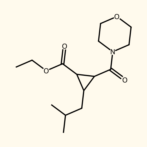 CCOC(=O)C1C(CC(C)C)C1C(=O)N1CCOCC1